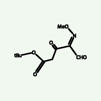 CON=C(C=O)C(=O)CC(=O)OC(C)(C)C